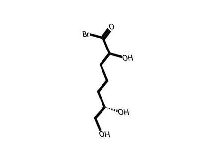 O=C(Br)C(O)CCC[C@H](O)CO